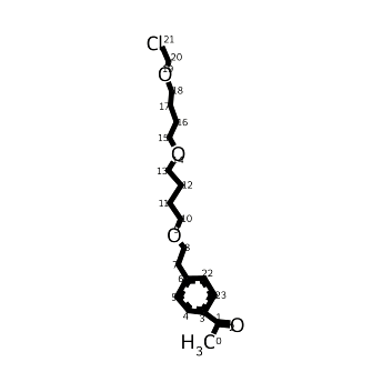 CC(=O)c1ccc(CCOCCCCOCCCCOCCl)cc1